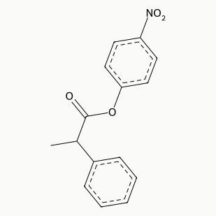 CC(C(=O)Oc1ccc([N+](=O)[O-])cc1)c1ccccc1